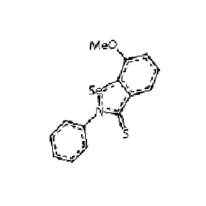 COc1cccc2c(=S)n(-c3ccccc3)[se]c12